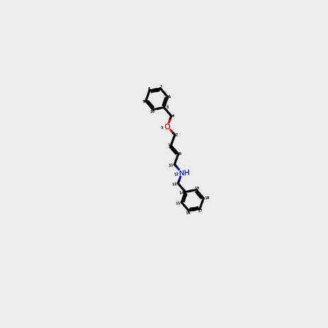 C(=CCOCc1ccccc1)CNCc1ccccc1